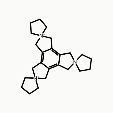 C1CC[N+]2(C1)Cc1c3c(c4c(c1C2)C[N+]1(CCCC1)C4)C[N+]1(CCCC1)C3